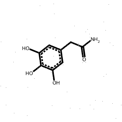 NC(=O)Cc1cc(O)c(O)c(O)c1